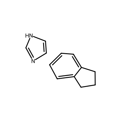 c1c[nH]cn1.c1ccc2c(c1)CCC2